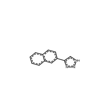 [c]1c(-c2c[nH]nn2)ccc2ccccc12